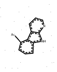 CC(=O)c1cccc2[nH]c3ncccc3c12